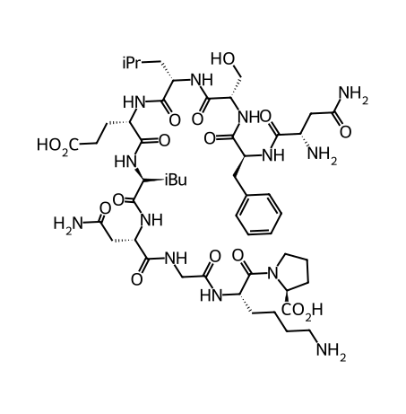 CC[C@H](C)[C@H](NC(=O)[C@H](CCC(=O)O)NC(=O)[C@H](CC(C)C)NC(=O)[C@H](CO)NC(=O)[C@H](Cc1ccccc1)NC(=O)[C@@H](N)CC(N)=O)C(=O)N[C@@H](CC(N)=O)C(=O)NCC(=O)N[C@@H](CCCCN)C(=O)N1CCC[C@H]1C(=O)O